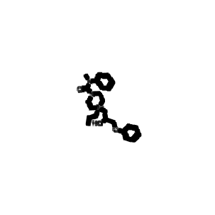 CCC[N+]1(CC(O)COc2ccccc2)CCN(C(=O)N(C)c2ccccc2)CC1